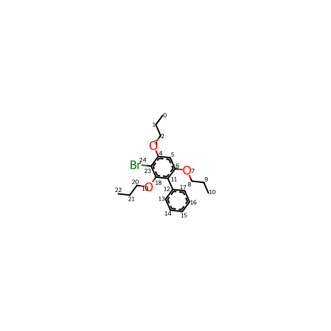 CCCOc1cc(OCCC)c(-c2ccccc2)c(OCCC)c1Br